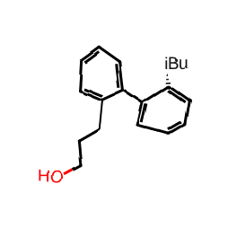 CC[C@@H](C)c1ccccc1-c1ccccc1CCCO